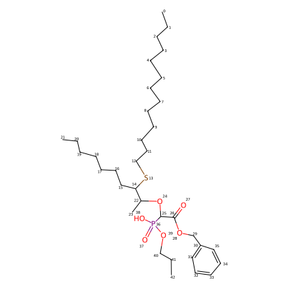 CCCCCCCCCCCCCSC(CCCCCCC)C(C)OC(C(=O)OCc1ccccc1)P(=O)(O)OCCC